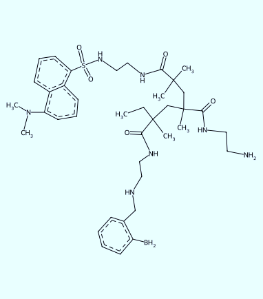 Bc1ccccc1CNCCNC(=O)C(C)(CC)CC(C)(CC(C)(C)C(=O)NCCNS(=O)(=O)c1cccc2c(N(C)C)cccc12)C(=O)NCCN